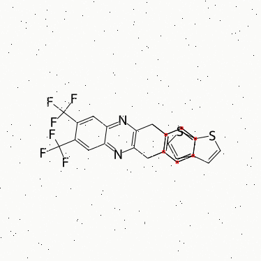 FC(F)(F)c1cc2nc3c(nc2cc1C(F)(F)F)C1c2cc4sccc4cc2C3c2cc3ccsc3cc21